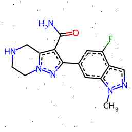 Cn1ncc2c(F)cc(-c3nn4c(c3C(N)=O)CNCC4)cc21